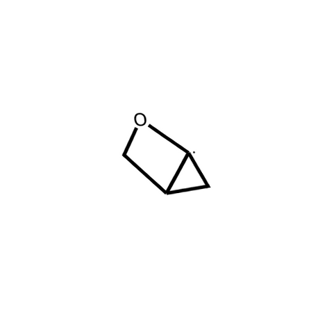 C1O[C]2CC12